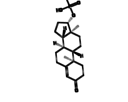 C[C@]12CC[C@H]3[C@@H](CCC4=CC(=O)CC[C@@]43C)[C@@H]1CC[C@@H]2OP(=O)(O)O